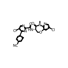 CN1C(=O)[C@@H](NC(=O)c2ncc(Cl)c(-c3ccc(C#N)cc3)n2)COc2cc(Cl)cnc21